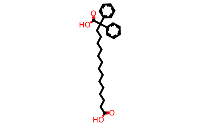 O=C(O)CCCCCCCCCCCCCC(C(=O)O)(c1ccccc1)c1ccccc1